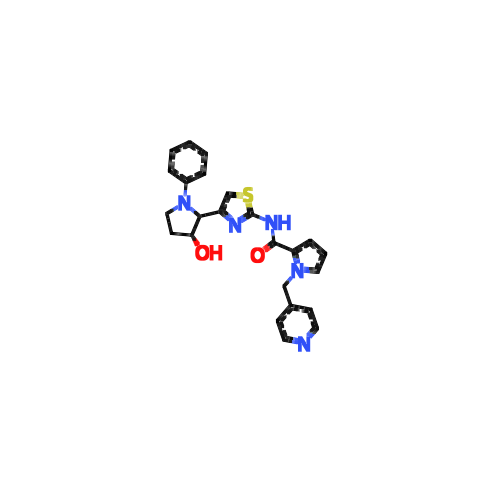 O=C(Nc1nc(C2[C@@H](O)CCN2c2ccccc2)cs1)c1cccn1Cc1ccncc1